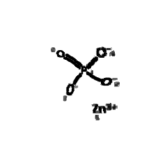 O=P([O-])([O-])[O-].[Zn+3]